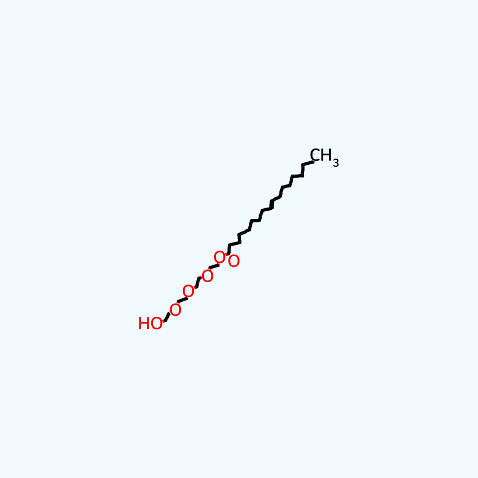 CCCCCCCCC=CCCCCCCCC(=O)OCCOCCOCCOCCO